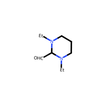 CCN1CCCN(CC)C1C=O